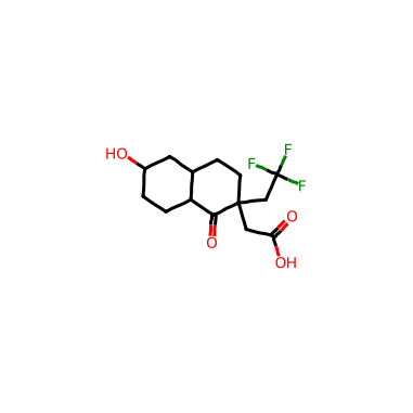 O=C(O)CC1(CC(F)(F)F)CCC2CC(O)CCC2C1=O